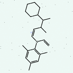 C=CN(/C=C\C(C)C(C)C1CCCCC1)c1c(C)cc(C)cc1C